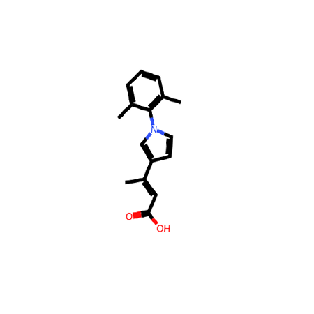 C/C(=C\C(=O)O)c1ccn(-c2c(C)cccc2C)c1